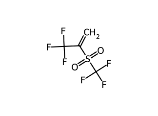 C=C(C(F)(F)F)S(=O)(=O)C(F)(F)F